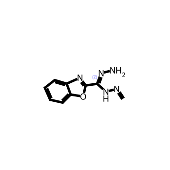 C=NN/C(=N\N)c1nc2ccccc2o1